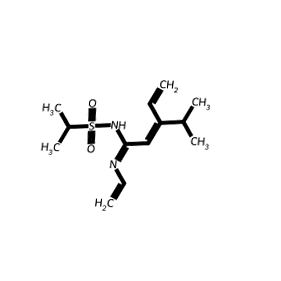 C=C/N=C(\C=C(/C=C)C(C)C)NS(=O)(=O)C(C)C